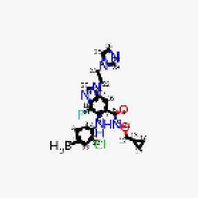 Bc1ccc(Nc2c(C(=O)NOCC3CC3)cc3c(ncn3CCn3ccnc3)c2F)c(Cl)c1